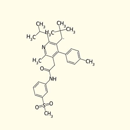 Cc1ccc(-c2c([CH]C(C)(C)C)c(CC(C)C)nc(C)c2CC(=O)Nc2cccc(S(C)(=O)=O)c2)cc1